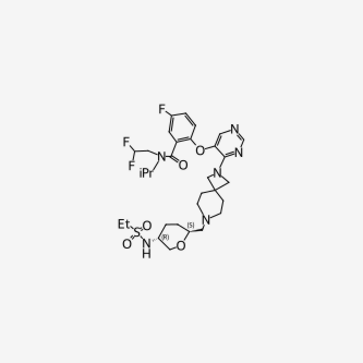 CCS(=O)(=O)N[C@@H]1CC[C@@H](CN2CCC3(CC2)CN(c2ncncc2Oc2ccc(F)cc2C(=O)N(CC(F)F)C(C)C)C3)OC1